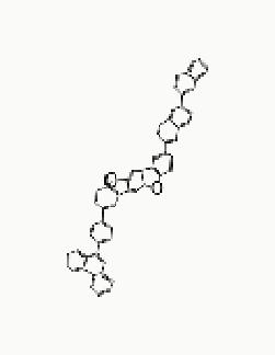 C1=c2oc3ccc(-c4ccc(-c5cc6ccccc6c6ccccc56)cc4)cc3c2=CC2Oc3ccc(-c4ccc5cc(-c6ccc7ccccc7c6)ccc5c4)cc3C12